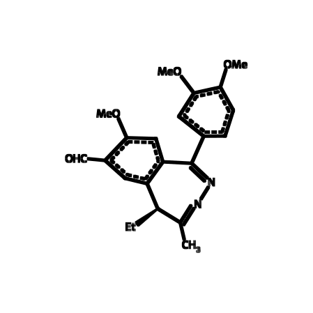 CC[C@@H]1C(C)=NN=C(c2ccc(OC)c(OC)c2)c2cc(OC)c(C=O)cc21